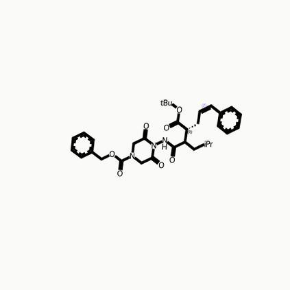 CC(C)CC(C(=O)NN1C(=O)CN(C(=O)OCc2ccccc2)CC1=O)[C@@H](C/C=C\c1ccccc1)C(=O)OC(C)(C)C